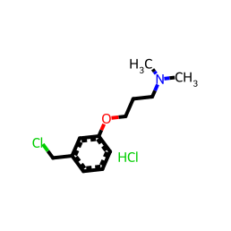 CN(C)CCCOc1cccc(CCl)c1.Cl